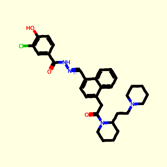 O=C(N/N=C/c1ccc(CC(=O)N2CCCCC2CCN2CCCCC2)c2ccccc12)c1ccc(O)c(Cl)c1